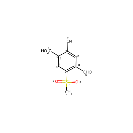 CS(=O)(=O)c1cc(C(=O)O)c(C#N)cc1C=O